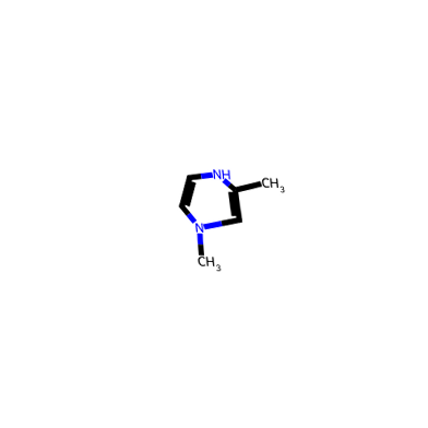 CC1=CN(C)C=CN1